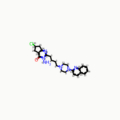 Nn1c(CCCCN2CCN(c3ccc4ccccc4n3)CC2)nc2c(c1=O)CC(Cl)C2